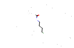 COC(=O)NCCCCCl